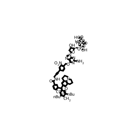 C=c1c(CCCC)cc2c(c1CCCC)Oc1c(cc3c4c1CCCN4CCC3)C=2c1cc(C(=O)NCC#Cc2ccc(COc3nc(N)nc4c3ncn4[C@H]3C[C@@H](O)[C@@H](COP(=O)(O)OP(=O)(O)OP(=O)(O)O)O3)c([N+](=O)[O-])c2)ccc1C(=O)O